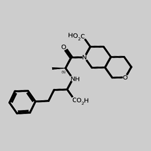 C[C@H](NC(CCc1ccccc1)C(=O)O)C(=O)N1CC2COCCC2CC1C(=O)O